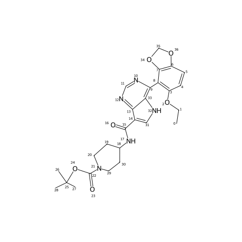 CCOc1ccc2c(c1-c1ncnc3c(C(=O)NC4CCN(C(=O)OC(C)(C)C)CC4)c[nH]c13)OCO2